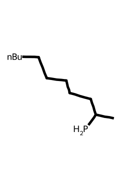 CCCCCCCCCC(C)P